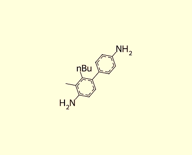 CCCCc1c(-c2ccc(N)cc2)ccc(N)c1C